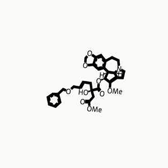 COC(=O)C[C@](O)(C/C=C/COCc1ccccc1)C(=O)O[C@@H]1C(OC)=C2CCN3CCc4cc5c(cc4[C@H]1[C@H]23)OCO5